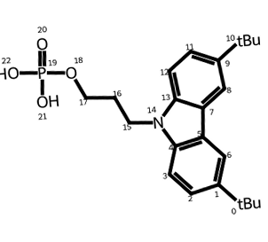 CC(C)(C)c1ccc2c(c1)c1cc(C(C)(C)C)ccc1n2CCCOP(=O)(O)O